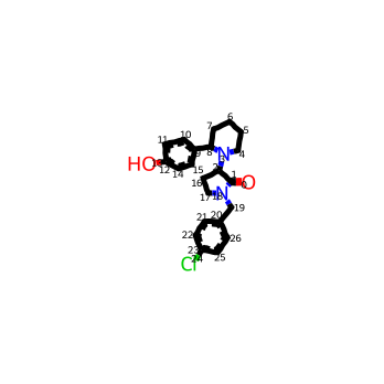 O=C1C(N2CCCCC2c2ccc(O)cc2)CCN1Cc1ccc(Cl)cc1